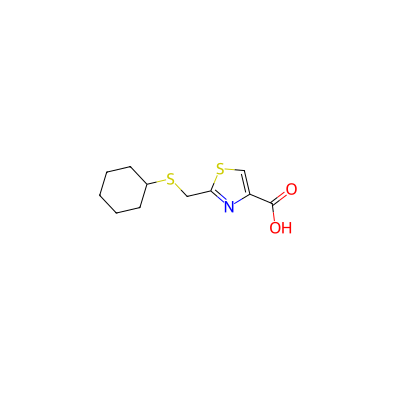 O=C(O)c1csc(CSC2CCCCC2)n1